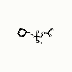 CC(C)C(=O)OCC(C)(C)SSc1ccccc1